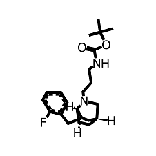 CC(C)(C)OC(=O)NCCCN1C[C@@H]2CC[C@H]1[C@H](Cc1ccccc1F)C2